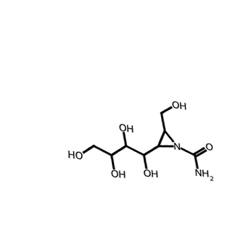 NC(=O)N1C(CO)C1C(O)C(O)C(O)CO